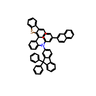 c1ccc(C2(c3ccccc3)c3ccccc3-c3ccc(N(c4cccc(-c5ccc6ccccc6c5)c4)c4ccccc4-c4cccc5c4sc4ccccc45)cc32)cc1